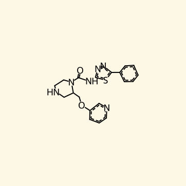 O=C(Nc1nnc(-c2ccccc2)s1)N1CCNCC1COc1cccnc1